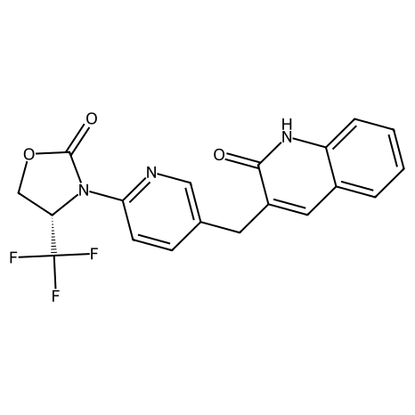 O=C1OC[C@@H](C(F)(F)F)N1c1ccc(Cc2cc3ccccc3[nH]c2=O)cn1